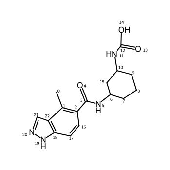 Cc1c(C(=O)NC2CCCC(NC(=O)O)C2)ccc2[nH]ncc12